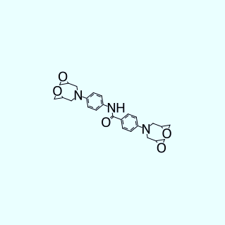 O=C(Nc1ccc(N(CC2CO2)CC2CO2)cc1)c1ccc(N(CC2CO2)CC2CO2)cc1